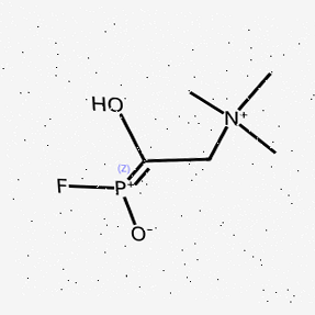 C[N+](C)(C)C/C(O)=[P+](\[O-])F